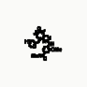 CNC(=O)c1ccc(Nc2ncc3c(n2)N(CC2CNCCO2)CC(C)(C)C(=O)N3C)c(OC)c1